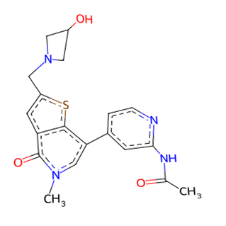 CC(=O)Nc1cc(-c2cn(C)c(=O)c3cc(CN4CC(O)C4)sc23)ccn1